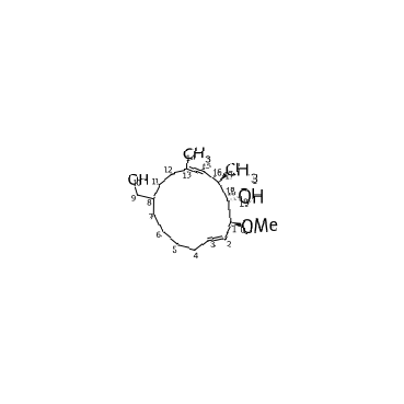 CO[C@H]1/C=C/CCCCC(CO)CC/C(C)=C\[C@@H](C)[C@@H]1O